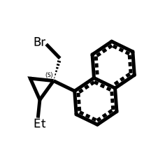 CCC1C[C@@]1(CBr)c1cccc2ccccc12